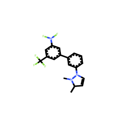 CC1C=CN(c2cccc(-c3cc(N(F)F)cc(C(F)(F)F)c3)c2)N1C